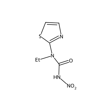 CCN(C(=O)N[N+](=O)[O-])c1nccs1